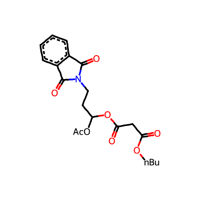 CCCCOC(=O)CC(=O)OC(CCN1C(=O)c2ccccc2C1=O)OC(C)=O